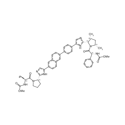 COC(=O)N[C@H](C(=O)N1CCC[C@H]1c1ncc(-c2ccc3cc(-c4ccc(-c5cnc([C@@H]6[C@H](C)C[C@H](C)N6C(=O)[C@H](NC(=O)OC)c6ccccc6)[nH]5)cc4)ccc3c2)[nH]1)C(C)C